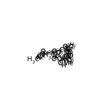 COc1cc(C(=O)N(C)c2ccc(C)cc2OCCCCCC(=O)N2CCN(C)CC2)ccc1NC(=O)c1ccccc1S(=O)(=O)CCCN1C(=O)c2ccccc2C1=O